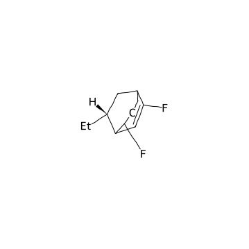 CC[C@@H]1CC2CCC(F)C1C=C2F